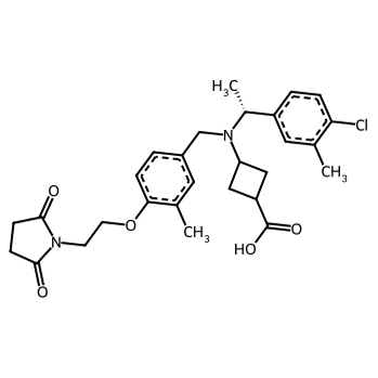 Cc1cc([C@@H](C)N(Cc2ccc(OCCN3C(=O)CCC3=O)c(C)c2)C2CC(C(=O)O)C2)ccc1Cl